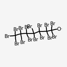 [O]C(Br)(Br)C(Br)(Br)C(Br)(Br)C(Br)(Br)C(Br)(Br)C(Br)(Br)C(Br)(Br)Br